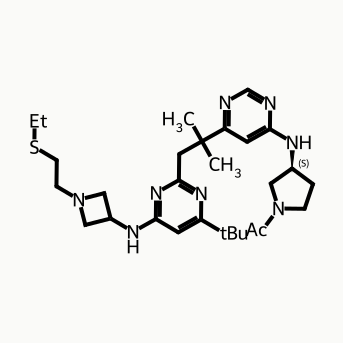 CCSCCN1CC(Nc2cc(C(C)(C)C)nc(CC(C)(C)c3cc(N[C@H]4CCN(C(C)=O)C4)ncn3)n2)C1